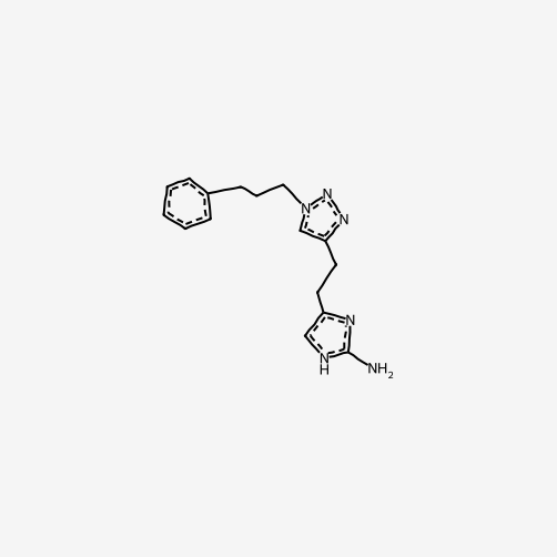 Nc1nc(CCc2cn(CCCc3ccccc3)nn2)c[nH]1